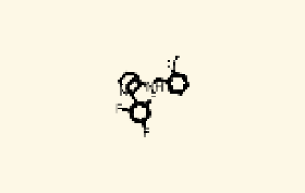 COc1ccccc1CNC1C2CCN(CC2)C1c1c(F)cc(F)cc1F